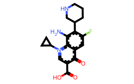 Nc1c(C2CCCNC2)c(F)cc2c(=O)c(C(=O)O)cn(C3CC3)c12